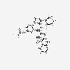 COC(=O)Nc1ccc(-n2ccnc2C(Cc2ccccc2)NC(=O)NS(=O)(=O)c2ccccc2Cl)cc1